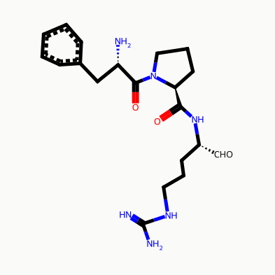 N=C(N)NCCC[C@@H](C=O)NC(=O)[C@@H]1CCCN1C(=O)[C@@H](N)Cc1ccccc1